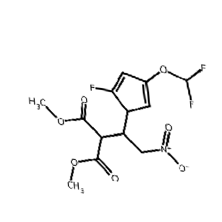 COC(=O)C(C(=O)OC)C(C[N+](=O)[O-])C1C=C(OC(F)F)C=C1F